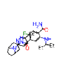 CCC(CC)Nc1cc(C(=O)NC2CC3CCC(C2)N3c2ccc(C(C)=O)cn2)c(F)cc1C(N)=O